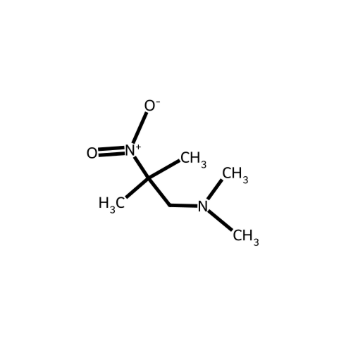 CN(C)CC(C)(C)[N+](=O)[O-]